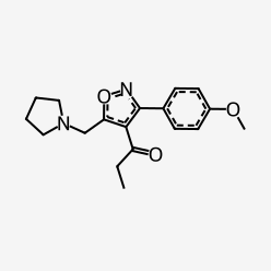 CCC(=O)c1c(-c2ccc(OC)cc2)noc1CN1CCCC1